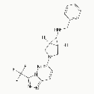 FC(F)(F)c1nnc2ccc(N3C[C@@H]4[C@H](C3)[C@H]4NCc3ccccc3)nn12